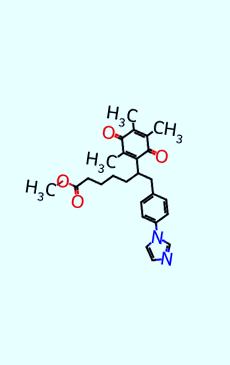 COC(=O)CCCCC(Cc1ccc(-n2ccnc2)cc1)C1=C(C)C(=O)C(C)=C(C)C1=O